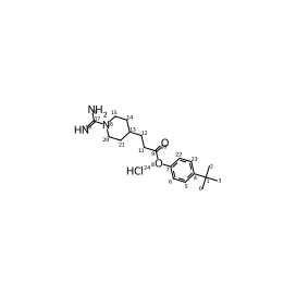 CC(C)(C)c1ccc(OC(=O)CCC2CCN(C(=N)N)CC2)cc1.Cl